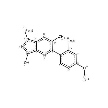 CCCCCn1nc(O)c2nc(-c3ccc(OC(F)(F)F)cc3OC)c(C)nc21